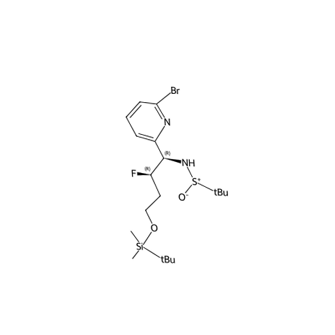 CC(C)(C)[S+]([O-])N[C@H](c1cccc(Br)n1)[C@H](F)CCO[Si](C)(C)C(C)(C)C